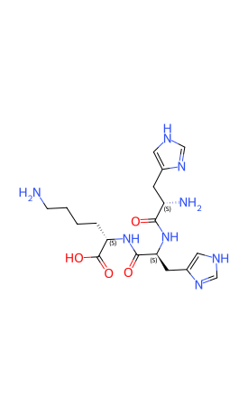 NCCCC[C@H](NC(=O)[C@H](Cc1c[nH]cn1)NC(=O)[C@@H](N)Cc1c[nH]cn1)C(=O)O